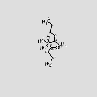 CCCCC(C)P(O)(O)(Cl)C(O)CCO